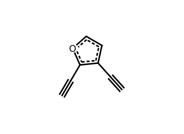 C#Cc1ccoc1C#C